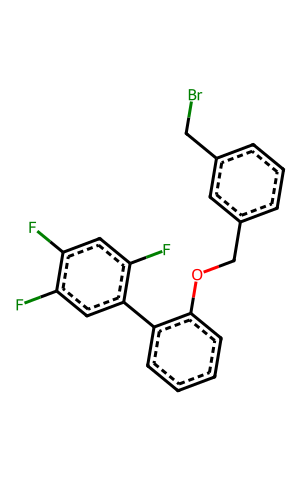 Fc1cc(F)c(-c2ccccc2OCc2cccc(CBr)c2)cc1F